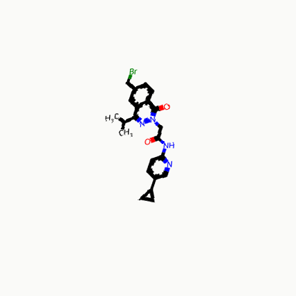 CC(C)c1nn(CC(=O)Nc2ccc(C3CC3)cn2)c(=O)c2ccc(CBr)cc12